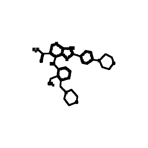 CCc1c(CN2CCOCC2)cccc1Nc1c(C(N)=O)cnc2[nH]c(-c3ccc(N4CCOCC4)cc3)nc12